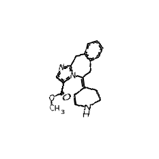 COC(=O)c1cnc2n1C(=C1CCNCC1)Cc1ccccc1C2